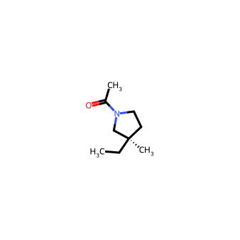 CC[C@]1(C)CCN(C(C)=O)C1